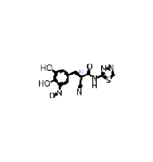 N#C/C(=C\c1cc(O)c(O)c(N=O)c1)C(=O)Nc1nncs1